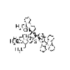 C=CC1=C(C=C)C(C)(C)c2cc(N(c3ccc(-c4cccc5c4C4(c6ccccc6-5)c5ccccc5-c5c4ccc4c5sc5ccccc54)cc3)c3ccc4c(c3)C(C)(C)c3ccccc3-4)ccc21